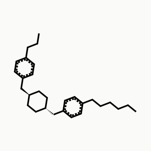 CCCCCCc1ccc(C[C@H]2CC[C@H](Cc3ccc(CCC)cc3)CC2)cc1